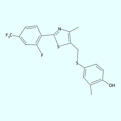 Cc1cc(SCc2sc(-c3ccc(C(F)(F)F)cc3F)nc2C)ccc1O